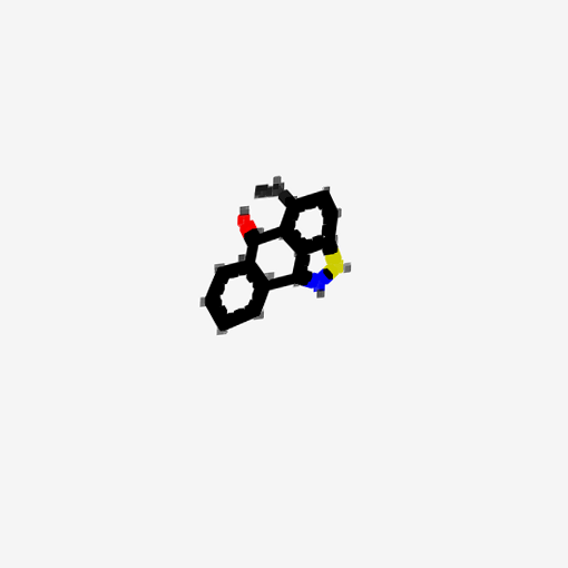 CNc1ccc2snc3c2c1C(=O)c1ccccc1-3